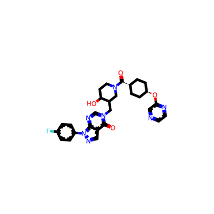 O=c1c2cnn(-c3ccc(F)cc3)c2ncn1CC1CN(C(=O)[C@H]2CC[C@@H](Oc3cnccn3)CC2)CCC1O